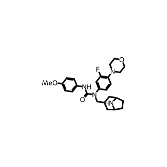 COc1ccc(NC(=O)N(CC2CC3CCC(C2)N3)c2ccc(N3CCOCC3)c(F)c2)cc1